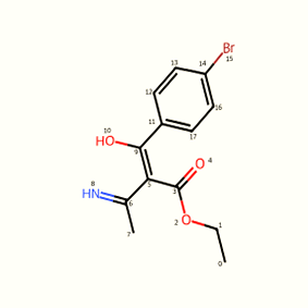 CCOC(=O)/C(C(C)=N)=C(/O)c1ccc(Br)cc1